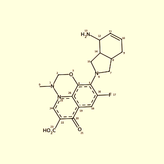 CN1COc2c(N3CC4CC=CC(N)C4C3)c(F)cc3c(=O)c(C(=O)O)cn1c23